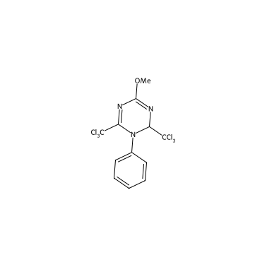 COC1=NC(C(Cl)(Cl)Cl)N(c2ccccc2)C(C(Cl)(Cl)Cl)=N1